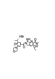 Br.CCOc1cc2c(nc1C(=O)NC)C(=N)N(CC(=O)c1cc(C(C)C)c(OC)c(N3CCOCC3)c1)C2